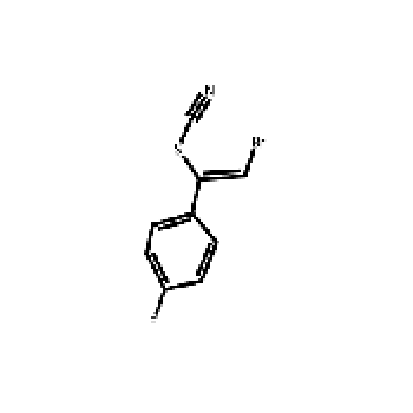 N#CSC(=CBr)c1ccc(F)cc1